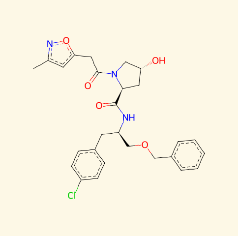 Cc1cc(CC(=O)N2C[C@H](O)C[C@H]2C(=O)N[C@@H](COCc2ccccc2)Cc2ccc(Cl)cc2)on1